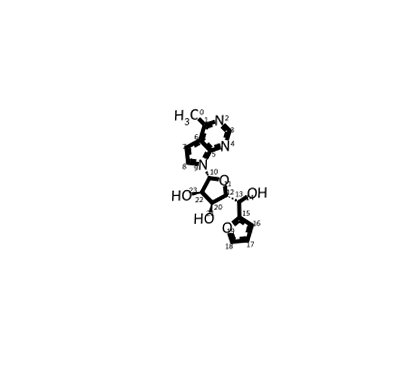 Cc1ncnc2c1ccn2[C@@H]1O[C@H](C(O)c2ccco2)[C@@H](O)[C@H]1O